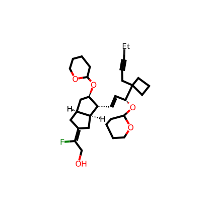 CCC#CCC1([C@@H](/C=C/[C@@H]2[C@H]3C/C(=C(/F)CO)C[C@H]3C[C@H]2OC2CCCCO2)OC2CCCCO2)CCC1